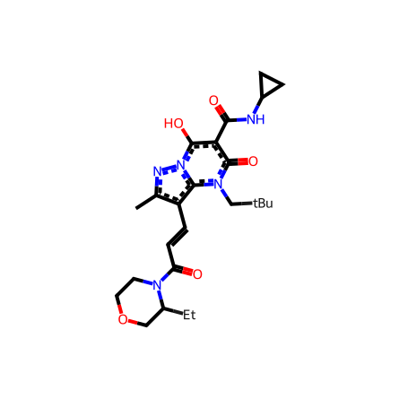 CCC1COCCN1C(=O)C=Cc1c(C)nn2c(O)c(C(=O)NC3CC3)c(=O)n(CC(C)(C)C)c12